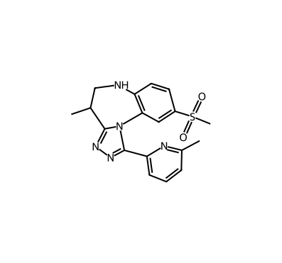 Cc1cccc(-c2nnc3n2-c2cc(S(C)(=O)=O)ccc2NCC3C)n1